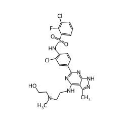 Cc1n[nH]c2nc(-c3ccc(NS(=O)(=O)c4cccc(Cl)c4F)c(Cl)c3)nc(NCCN(C)CCO)c12